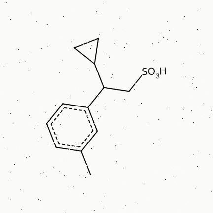 Cc1cccc(C(CS(=O)(=O)O)C2CC2)c1